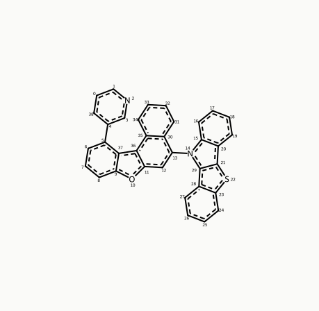 c1cncc(-c2cccc3oc4cc(-n5c6ccccc6c6sc7ccccc7c65)c5ccccc5c4c23)c1